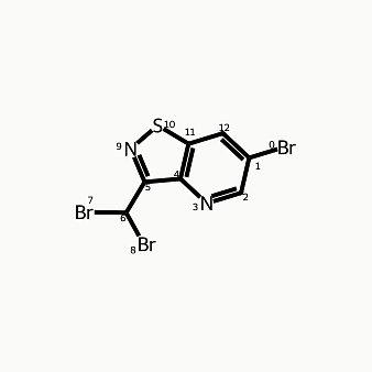 Brc1cnc2c(C(Br)Br)nsc2c1